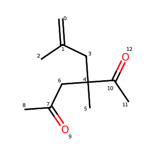 C=C(C)CC(C)(CC(C)=O)C(C)=O